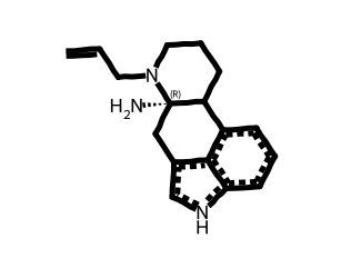 C=CCN1CCCC2c3cccc4[nH]cc(c34)C[C@]21N